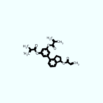 C=CC(=O)OC1CCc2c(-c3cc(OC(=O)C(=C)C)cc(OC(=O)C(=C)C)c3)cccc21